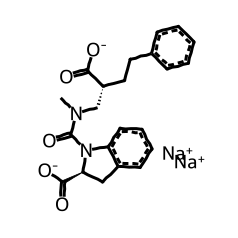 CN(C[C@@H](CCc1ccccc1)C(=O)[O-])C(=O)N1c2ccccc2C[C@H]1C(=O)[O-].[Na+].[Na+]